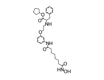 O=C(CCCCCCC(=O)Nc1cccc(OCCNC(Cc2ccccc2)C(=O)OC2CCCC2)c1)NO